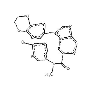 CN(C(=O)c1cn2c(-c3ccc4c(c3)OCCO4)cnc2cn1)c1ccc(Cl)nc1